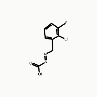 O=C(O)/N=N/Cc1cccc(F)c1Cl